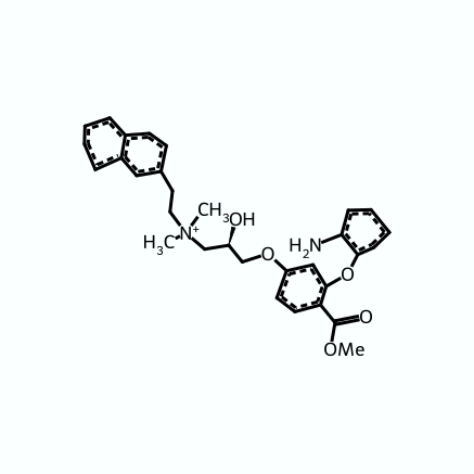 COC(=O)c1ccc(OC[C@H](O)C[N+](C)(C)CCc2ccc3ccccc3c2)cc1Oc1ccccc1N